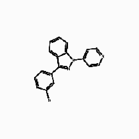 Brc1cccc(-c2nn(-c3ccncc3)c3ccccc23)c1